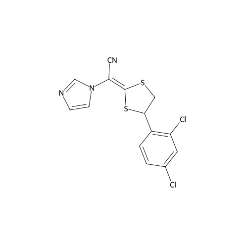 N#CC(=C1SCC(c2ccc(Cl)cc2Cl)S1)n1ccnc1